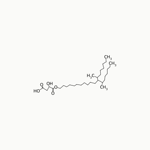 CCCCCCC(C)C(CCCCCCCCCCCOC(=O)C(O)CC(=O)O)C(C)CCCCCC